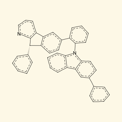 c1ccc(-c2ccc3c(c2)c2ccccc2n3-c2ccccc2-c2ccc3c(c2)-c2cccnc2[C@H]3c2ccccc2)cc1